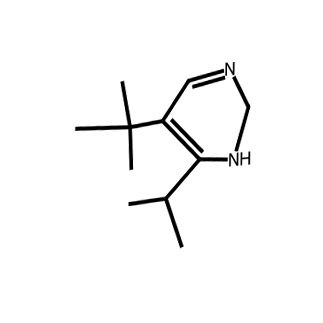 CC(C)C1=C(C(C)(C)C)C=NCN1